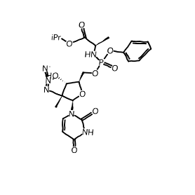 CC(C)OC(=O)[C@@H](C)NP(=O)(OC[C@H]1O[C@@H](n2ccc(=O)[nH]c2=O)[C@](C)(N=[N+]=[N-])[C@@H]1O)Oc1ccccc1